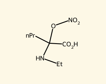 CCCC(NCC)(O[N+](=O)[O-])C(=O)O